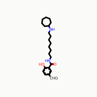 O=Cc1ccc(O)c(C(=O)NCCCCCCCCNC2CCCCCC2)c1